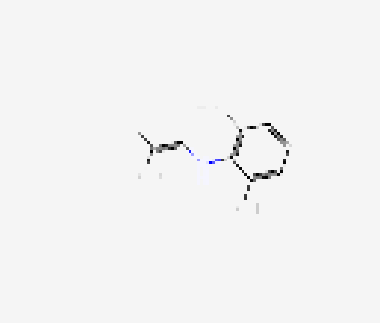 CCOC(=O)C(=CNc1c(C)cccc1C)C(=O)OCC